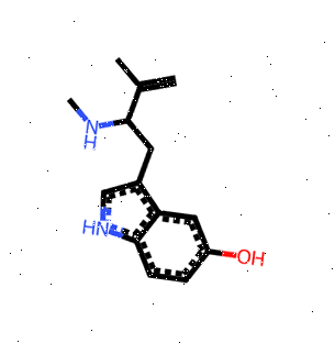 C=C(C)C(Cc1c[nH]c2ccc(O)cc12)NC